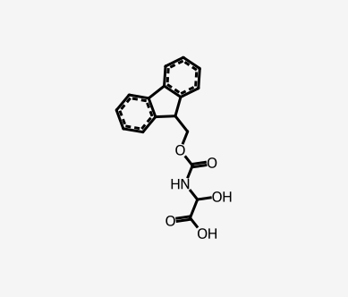 O=C(NC(O)C(=O)O)OCC1c2ccccc2-c2ccccc21